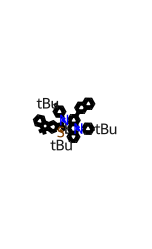 CC(C)(C)c1ccc(N2c3ccc(C(C)(C)C)cc3B3c4sc5cc6c(cc5c4N(c4ccc(C(C)(C)C)cc4)c4cc(-c5ccc7ccccc7c5)cc2c43)-c2ccccc2C6(C)C)cc1